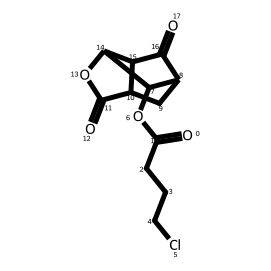 O=C(CCCCl)OC1C2CC3C(=O)OC1C3C2=O